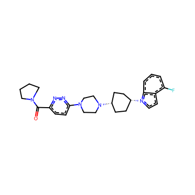 O=C(c1ccc(N2CCN([C@H]3CC[C@@H](n4ccc5c(F)cccc54)CC3)CC2)nn1)N1CCCC1